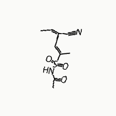 C/C=C(C#N)\C=C(/C)S(=O)(=O)NC(C)=O